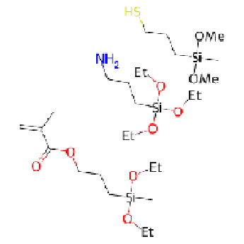 C=C(C)C(=O)OCCC[Si](C)(OCC)OCC.CCO[Si](CCCN)(OCC)OCC.CO[Si](C)(CCCS)OC